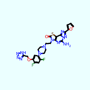 Nc1nc2c(sc(=O)n2CCN2CCN(c3cc(OCc4nnn[nH]4)c(F)cc3F)CC2)c2nc(-c3ccco3)nn12